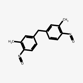 Cc1cc(Cc2ccc(N=O)c(C)c2)ccc1N=O